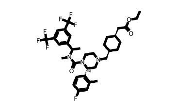 CCOC(=O)C[C@H]1CC[C@@H](CN2CCN(C(=O)N(C)C(C)c3cc(C(F)(F)F)cc(C(F)(F)F)c3)[C@@H](c3ccc(F)cc3C)C2)CC1